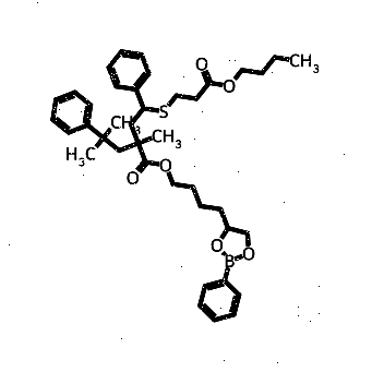 CCCCOC(=O)CCSC(CC(C)(CC(C)(C)c1ccccc1)C(=O)OCCCCC1COB(c2ccccc2)O1)c1ccccc1